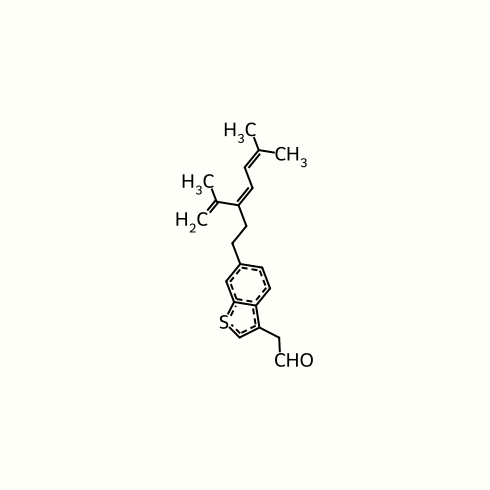 C=C(C)/C(=C\C=C(C)C)CCc1ccc2c(CC=O)csc2c1